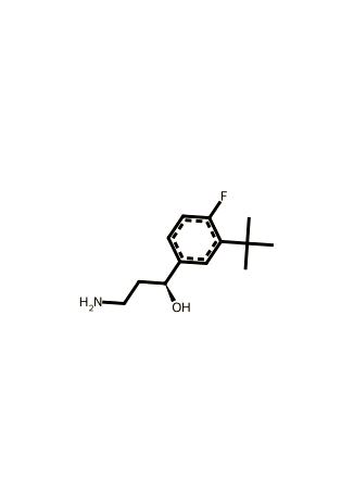 CC(C)(C)c1cc([C@@H](O)CCN)ccc1F